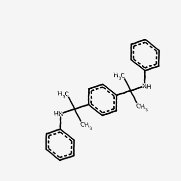 CC(C)(Nc1ccccc1)c1ccc(C(C)(C)Nc2ccccc2)cc1